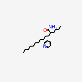 CCCCCCCCCCCC(CCCC)C(N)=O.c1ccncc1